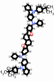 CC(C)(C)c1ccc(-n2c3ccccc3c3ccc(N(c4ccccc4)c4ccc5c(c4)oc4c5ccc5c4ccc4c6ccc(N(c7ccccc7)c7ccc8c9ccccc9n(-c9ccc(C(C)(C)C)cc9)c8c7)cc6oc45)cc32)cc1